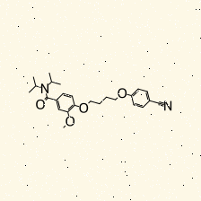 COc1cc(C(=O)N(C(C)C)C(C)C)ccc1OCCCCOc1ccc(C#N)cc1